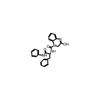 O=C(Nc1ccccc1)C(Cc1ccccc1)NC(=O)N1CC(O)=Nc2ccccc21